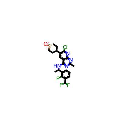 Cc1nc(NC(C)c2cccc(C(F)F)c2F)c2cc(C3CC[S+]([O-])CC3)c(Cl)nc2n1